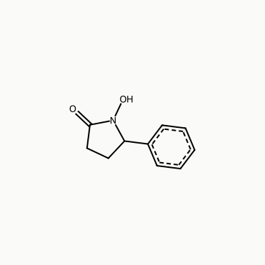 O=C1CCC(c2ccccc2)N1O